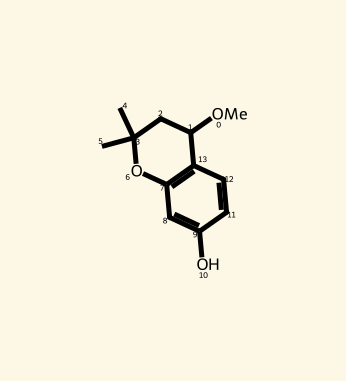 COC1CC(C)(C)Oc2cc(O)ccc21